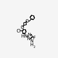 Nc1nc(Nc2ccc(OC3CC(OCc4ccccc4)C3)c(Cl)c2)ncc1F